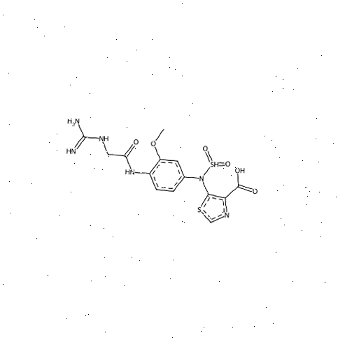 COc1cc(N(c2scnc2C(=O)O)[SH](=O)=O)ccc1NC(=O)CNC(=N)N